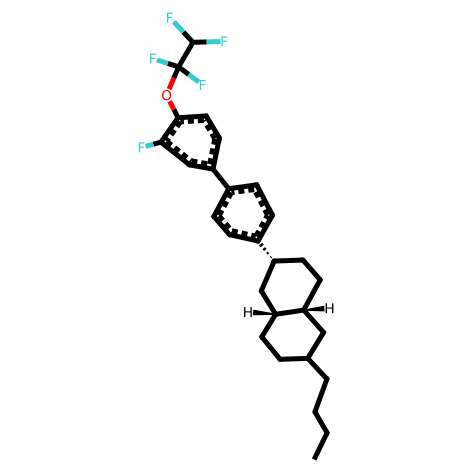 CCCCC1CC[C@@H]2C[C@H](c3ccc(-c4ccc(OC(F)(F)C(F)F)c(F)c4)cc3)CC[C@@H]2C1